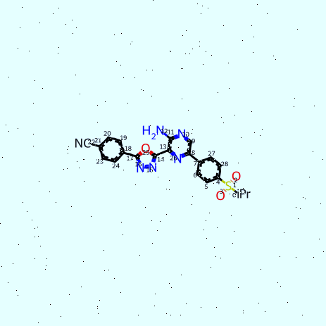 CC(C)S(=O)(=O)c1ccc(-c2cnc(N)c(-c3nnc(-c4ccc(C#N)cc4)o3)n2)cc1